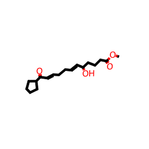 COC(=O)CCCC(O)C=CCCC=CC(=O)C1CCCC1